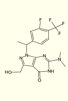 CC(c1ccc(C(F)(F)F)c(F)c1)n1nc(CO)c2c(=O)[nH]c(N(C)C)nc21